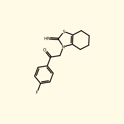 N=c1sc2c(n1CC(=O)c1ccc(F)cc1)CCCC2